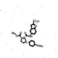 COc1ccc([C@@H]2CCN(C(=O)OC(C)(C)C)[C@@H]2C(=O)Nc2ccc3oc(C(=O)O)cc3c2)cc1